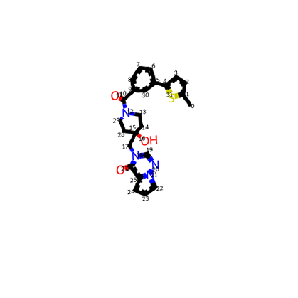 Cc1ccc(-c2cccc(C(=O)N3CCC(O)(Cn4cnn5cccc5c4=O)CC3)c2)s1